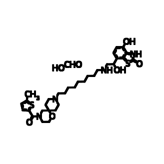 Cc1ccc(C(=O)N2CCOC3(CCN(CCCCCCCCCNC[C@H](O)c4ccc(O)c5[nH]c(=O)sc45)CC3)C2)s1.O=CO